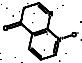 O=C1CC=Nc2c1ccc[n+]2[O-]